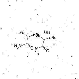 CCCCC(CC)C(N)=O.CCCCC(CC)C(N)=O.[LiH]